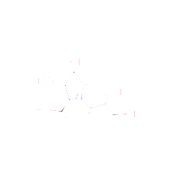 OCC(O)CN1CC(O)[C@@H](O)[C@@H]1CO